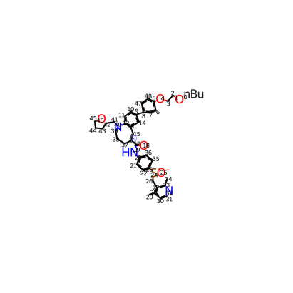 CCCCOCCOc1ccc(-c2ccc3c(c2)/C=C(/C(=O)Nc2ccc([S+]([O-])Cc4c(C)ccnc4C)cc2)CCCN3CC2CCCO2)cc1